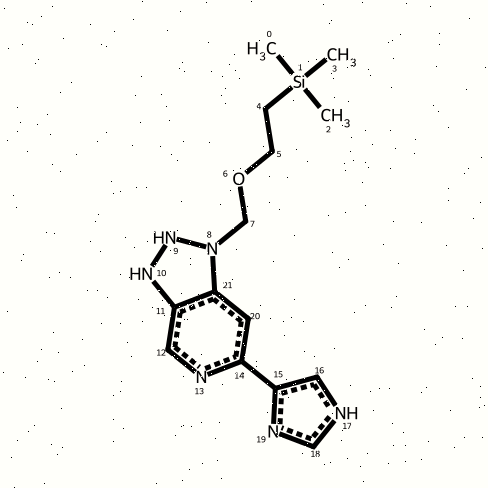 C[Si](C)(C)CCOCN1NNc2cnc(-c3c[nH]cn3)cc21